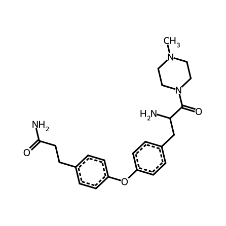 CN1CCN(C(=O)C(N)Cc2ccc(Oc3ccc(CCC(N)=O)cc3)cc2)CC1